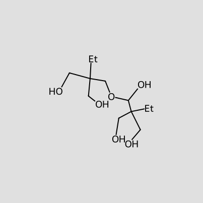 CCC(CO)(CO)COC(O)C(CC)(CO)CO